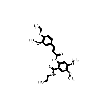 CCOc1ccc(C=CC(=O)Nc2cc(OC)c(OC)cc2C(=O)NCCO)cc1OC